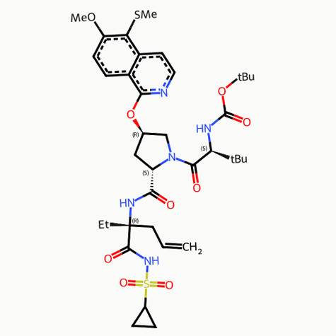 C=CC[C@@](CC)(NC(=O)[C@@H]1C[C@@H](Oc2nccc3c(SC)c(OC)ccc23)CN1C(=O)[C@@H](NC(=O)OC(C)(C)C)C(C)(C)C)C(=O)NS(=O)(=O)C1CC1